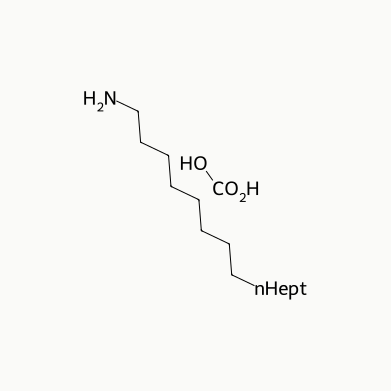 CCCCCCCCCCCCCCCN.O=C(O)O